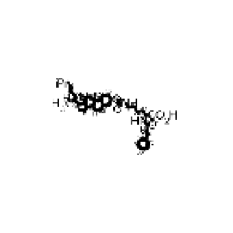 CC(C)CCC[C@@H](C)[C@H]1CCC2C3CC=C4CC(OC(=O)NCCCCC(NC(=O)OCc5ccccc5)C(=O)O)CC[C@]4(C)C3CC[C@@]21C